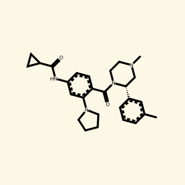 Cc1cccc([C@H]2CN(C)CCN2C(=O)c2ccc(NC(=O)C3CC3)cc2N2CCCC2)c1